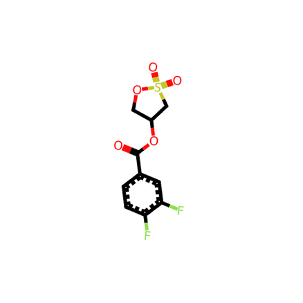 O=C(OC1COS(=O)(=O)C1)c1ccc(F)c(F)c1